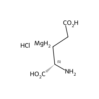 Cl.N[C@@H](CCC(=O)O)C(=O)O.[MgH2]